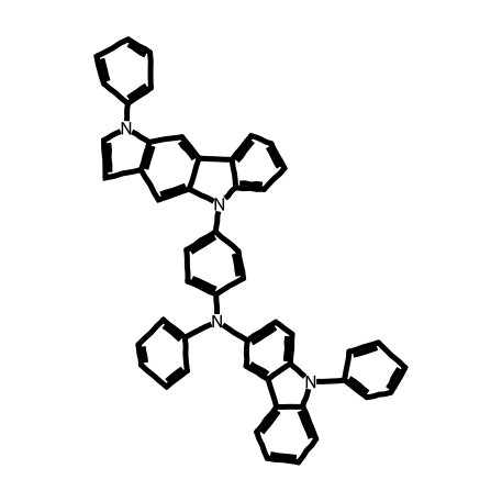 c1ccc(N(c2ccc(-n3c4ccccc4c4cc5c(ccn5-c5ccccc5)cc43)cc2)c2ccc3c(c2)c2ccccc2n3-c2ccccc2)cc1